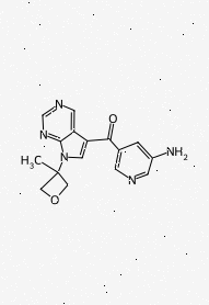 CC1(n2cc(C(=O)c3cncc(N)c3)c3cncnc32)COC1